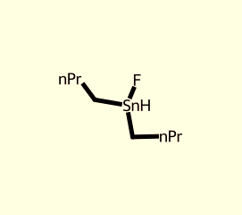 CCC[CH2][SnH]([F])[CH2]CCC